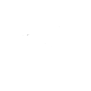 C[C@H](C=O)C(CNc1ccc(Cl)cc1C(=O)c1cccc(Cl)c1)NC(=O)O